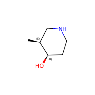 C[C@H]1CNCC[C@H]1O